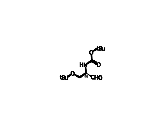 CC(C)(C)OC[C@@H](C=O)NC(=O)OC(C)(C)C